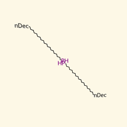 CCCCCCCCCCCCCCCCCCCCCCCCCCCCCCPPCCCCCCCCCCCCCCCCCCCCCCCCCCCCCC